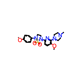 COc1ccc(N2CCN(c3ccc(OC)c(N4CCN(C)CC4)n3)S2(=O)=O)cc1